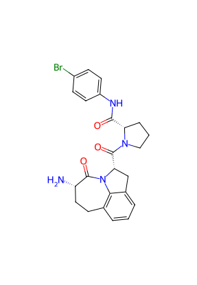 N[C@H]1CCc2cccc3c2N(C1=O)[C@H](C(=O)N1CCC[C@H]1C(=O)Nc1ccc(Br)cc1)C3